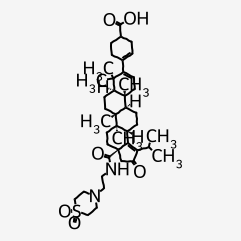 CC(C)C1=C2[C@H]3CC[C@@H]4[C@@]5(C)CC=C(C6=CCC(C(=O)O)CC6)C(C)(C)[C@@H]5CC[C@@]4(C)[C@]3(C)CC[C@@]2(C(=O)NCCN2CCS(=O)(=O)CC2)CC1=O